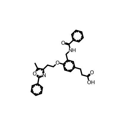 Cc1oc(-c2ccccc2)nc1CCOc1ccc(CCC(=O)O)cc1CNC(=O)c1ccccc1